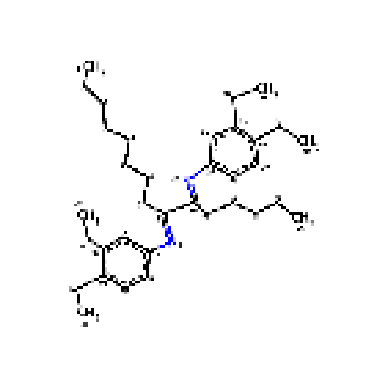 CCCCCCCCC(=Nc1ccc(CC)c(CC)c1)C(CCCCC)=Nc1ccc(CC)c(CC)c1